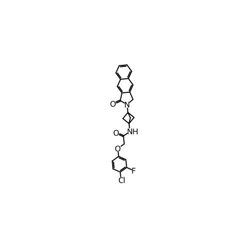 O=C(COc1ccc(Cl)c(F)c1)NC12CC(N3Cc4cc5ccccc5cc4C3=O)(C1)C2